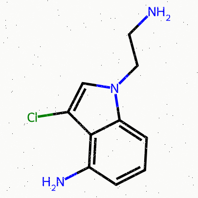 NCCn1cc(Cl)c2c(N)cccc21